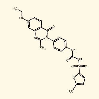 CCNc1ccc2c(=O)n(-c3ccc(NC(=O)NS(=O)(=O)c4ccc(C)s4)cn3)c(C)nc2c1